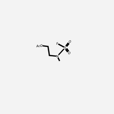 CC(=O)OCCN(C)S(=O)(=O)F